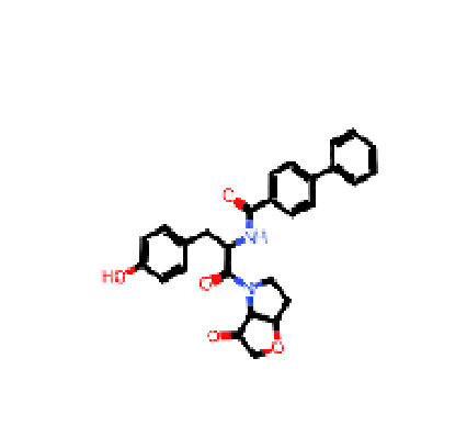 O=C(NC(Cc1ccc(O)cc1)C(=O)N1CCC2OCC(=O)C21)c1ccc(-c2ccccc2)cc1